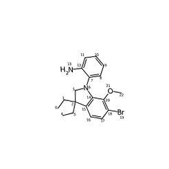 CCC1(CC)CN(c2ccccc2N)c2c1ccc(Br)c2OC